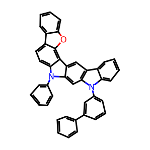 c1ccc(-c2cccc(-n3c4ccccc4c4cc5c6c7oc8ccccc8c7ccc6n(-c6ccccc6)c5cc43)c2)cc1